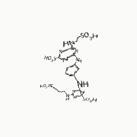 O=S(=O)(O)CCNc1nc(Nc2cccc(Nc3nc(NCCS(=O)(=O)O)nc(S(=O)(=O)O)n3)c2)nc(S(=O)(=O)O)n1